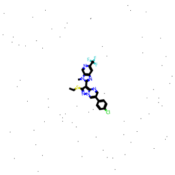 CCSc1nn2cc(-c3ccc(Cl)cc3)cnc2c1-c1nc2cc(C(F)(F)F)ncc2n1C